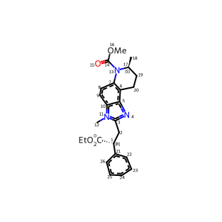 CCOC(=O)[C@H](Cc1nc2c3c(ccc2n1C)N(C(=O)OC)[C@@H](C)CC3)c1ccccc1